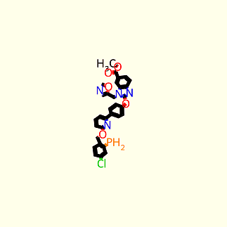 COC(=O)c1ccc2nc(Oc3ccc(-c4cccc(OCc5ccc(Cl)cc5P)n4)cc3)n(Cc3cnco3)c2c1